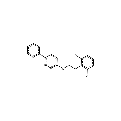 Fc1cccc(Cl)c1CCOc1ccc(-c2ccccn2)nn1